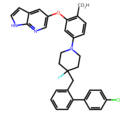 O=C(O)c1ccc(N2CCC(F)(Cc3ccccc3-c3ccc(Cl)cc3)CC2)cc1Oc1cnc2[nH]ccc2c1